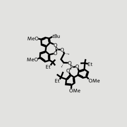 CCC(C)(C)c1cc(OC)cc2c1op(O[C@H](C)C[C@@H](C)Op1oc3c(C(C)(C)CC)cc(OC)cc3c3cc(OC)cc(C(C)(C)CC)c3o1)oc1c(C(C)(C)C)cc(OC)cc12